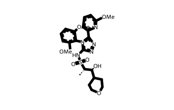 COc1cccc(-c2nnc(NS(=O)(=O)[C@@H](C)[C@H](O)C3CCOCC3)n2-c2c(OC)cccc2OC)n1